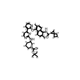 Cc1ccc2c(NC(=O)[C@H]3CC34CCC4)c(F)ccc2c1Oc1ncccc1-c1ccnc(NC2CCCN(C(=O)OC(C)(C)C)C2)n1